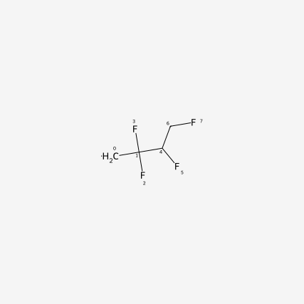 [CH2]C(F)(F)C(F)CF